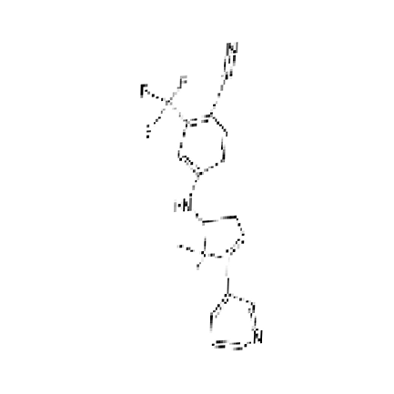 CC1(C)C(c2cccnc2)=CCC1Nc1ccc(C#N)c(C(F)(F)F)c1